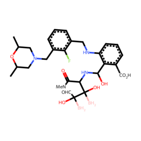 BC(O)(C=O)C(B)(O)C(NC(O)c1c(NCc2cccc(CN3CC(C)OC(C)C3)c2F)cccc1C(=O)O)C(=O)NC